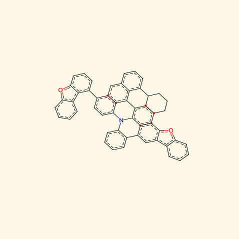 c1ccc(N(c2ccc(-c3cccc4oc5ccccc5c34)cc2)c2ccccc2-c2cccc3cccc(C4CCCCC4)c23)c(-c2ccc3oc4ccccc4c3c2)c1